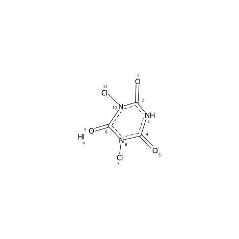 I.O=c1[nH]c(=O)n(Cl)c(=O)n1Cl